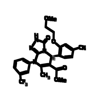 COCCOc1cc(C#N)ccc1[C@@H]1C(C(=O)OC)=C(C)N(c2cccc(C(F)(F)F)c2)c2n[nH]c(=O)n21